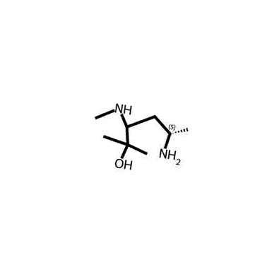 CNC(C[C@H](C)N)C(C)(C)O